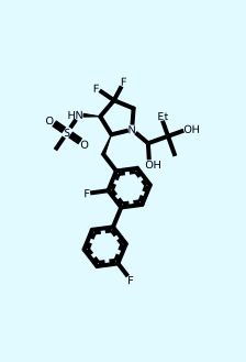 CCC(C)(O)C(O)N1CC(F)(F)[C@H](NS(C)(=O)=O)[C@@H]1Cc1cccc(-c2cccc(F)c2)c1F